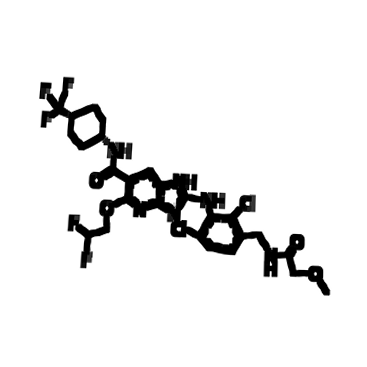 COCC(=O)NCc1ccc(Cl)c(Nc2nc3nc(OCC(F)F)c(C(=O)N[C@H]4CC[C@H](C(F)(F)F)CC4)cc3[nH]2)c1Cl